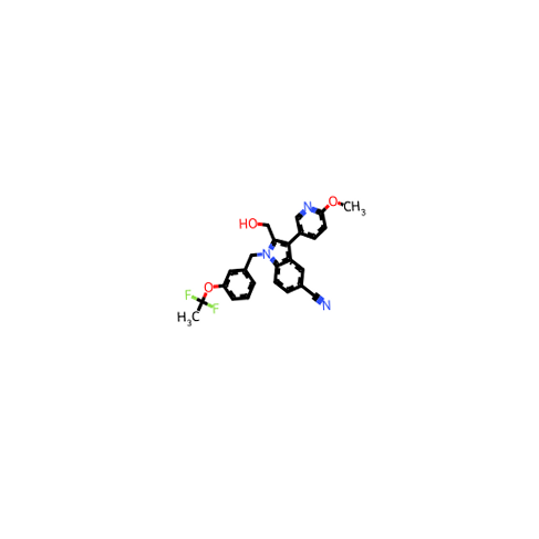 COc1ccc(-c2c(CO)n(Cc3cccc(OC(C)(F)F)c3)c3ccc(C#N)cc23)cn1